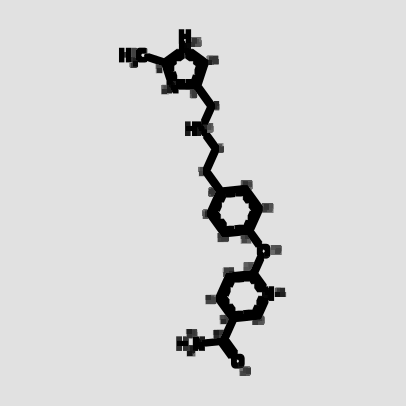 Cc1nc(CNCCc2ccc(Oc3ccc(C(N)=O)cn3)cc2)c[nH]1